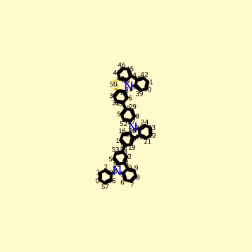 c1ccc(-n2c3ccccc3c3cc(-c4ccc5c(c4)c4ccccc4n5-c4ccc(-c5ccc6c(c5)-n5c7ccccc7c7cccc(c75)S6)cc4)ccc32)cc1